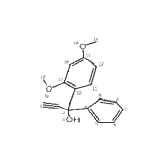 C#CC(O)(c1ccccc1)c1ccc(OC)cc1OC